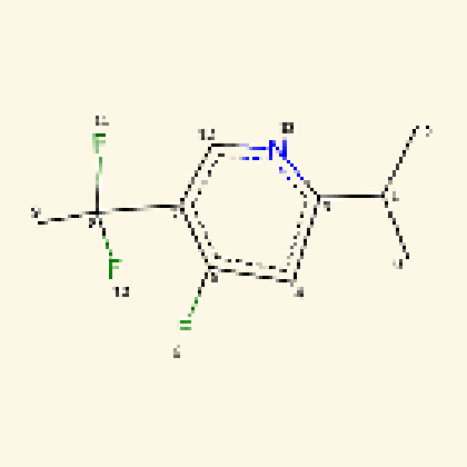 CC(C)c1cc(F)c(C(C)(F)F)cn1